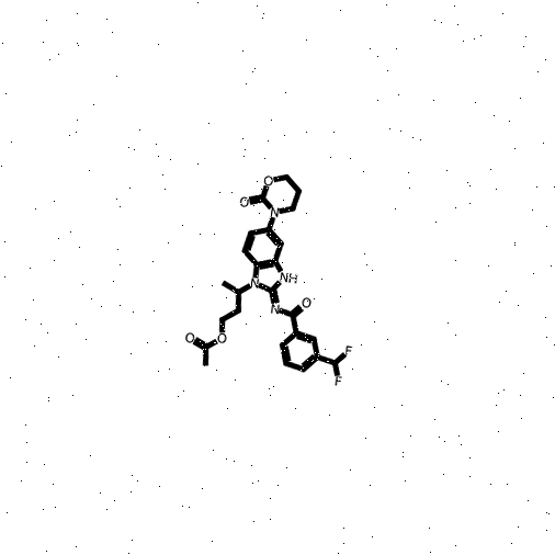 CC(=O)OCCC(C)n1/c(=N/C(=O)c2cccc(C(F)F)c2)[nH]c2cc(N3CCCOC3=O)ccc21